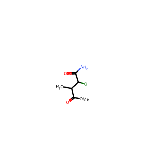 COC(=O)C(C)C(Cl)C(N)=O